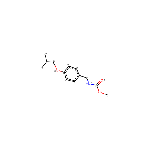 COC(=O)NCc1ccc(OCC(C)C)cc1